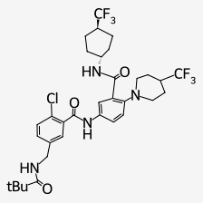 CC(C)(C)C(=O)NCc1ccc(Cl)c(C(=O)Nc2ccc(N3CCC(C(F)(F)F)CC3)c(C(=O)N[C@H]3CC[C@H](C(F)(F)F)CC3)c2)c1